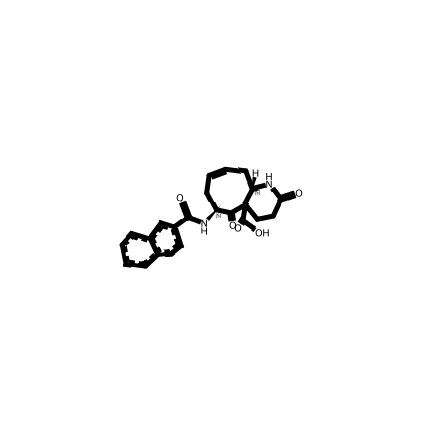 O=C1CCC2(C(=O)O)C(=O)[C@@H](NC(=O)c3ccc4ccccc4c3)CC=CC[C@@H]2N1